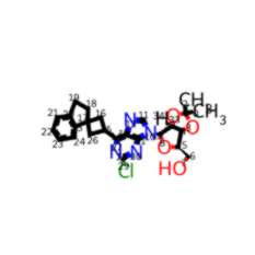 CC1(C)OC2[C@@H](CO)O[C@@H](n3cnc4c(C5CC6(CCc7ccccc76)C5)nc(Cl)nc43)[C@H]2O1